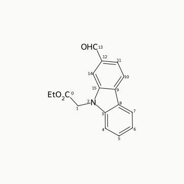 CCOC(=O)Cn1c2ccccc2c2ccc(C=O)cc21